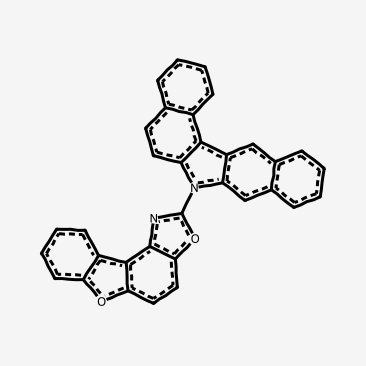 c1ccc2cc3c(cc2c1)c1c2ccccc2ccc1n3-c1nc2c(ccc3oc4ccccc4c32)o1